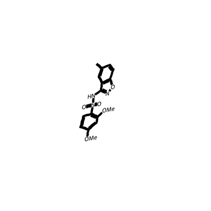 COc1ccc(S(=O)(=O)Nc2noc3ccc(C)cc23)c(OC)c1